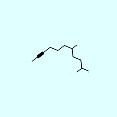 [CH2]CCC#CCCCC(CC)CCC(CC)CC[CH2]